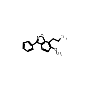 CCCc1c(OC)ccc2c(-c3ccccc3)noc12